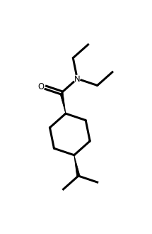 CCN(CC)C(=O)[C@H]1CC[C@@H](C(C)C)CC1